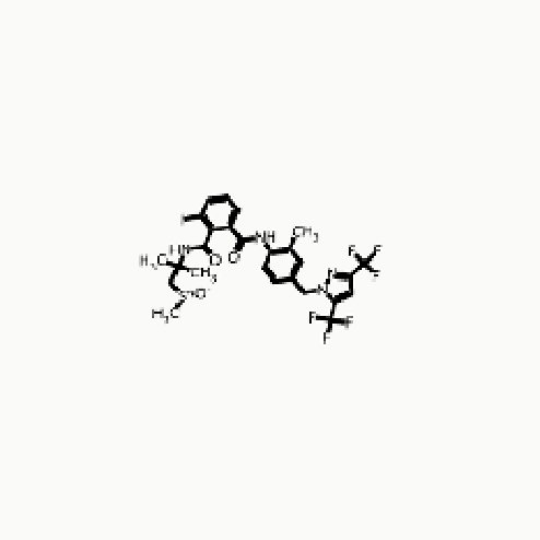 Cc1cc(Cn2nc(C(F)(F)F)cc2C(F)(F)F)ccc1NC(=O)c1cccc(I)c1C(=O)NC(C)(C)C[S+](C)[O-]